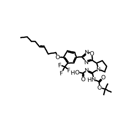 CCCCC=CCCOc1ccc(-c2noc(C3CCCN3C(=NC(=O)O)NC(=O)OC(C)(C)C)n2)cc1C(F)(F)F